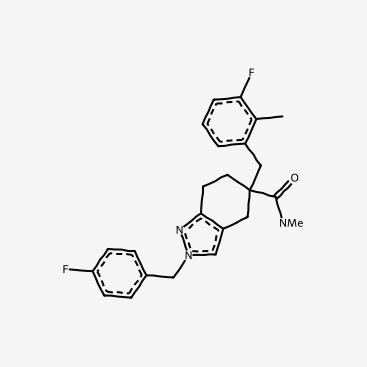 CNC(=O)C1(Cc2cccc(F)c2C)CCc2nn(Cc3ccc(F)cc3)cc2C1